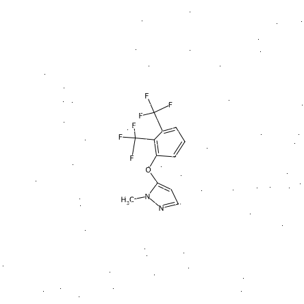 Cn1n[c]cc1Oc1cccc(C(F)(F)F)c1C(F)(F)F